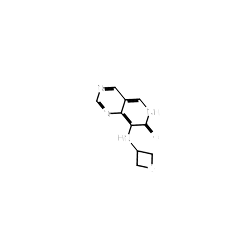 O=c1[nH]cc2cncnc2c1NC1COC1